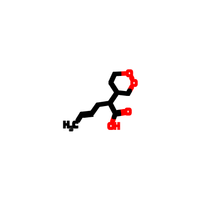 CC=CCC(C(=O)O)C1CCOOC1